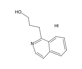 I.OCCCc1nccc2ccccc12